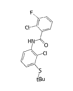 CC(C)(C)Sc1cccc(NC(=O)c2cccc(F)c2Cl)c1Cl